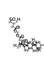 C[C@H](CCC(=O)OCOC(=O)CCCC(=O)O)C1CCC2C3CC[C@@H]4CCCC[C@]4(C)C3C[C@H](O)[C@@]21C